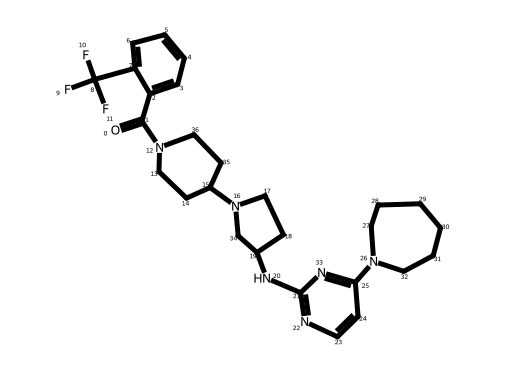 O=C(c1ccccc1C(F)(F)F)N1CCC(N2CCC(Nc3nccc(N4CCCCCC4)n3)C2)CC1